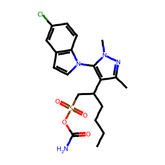 CCCCC(CS(=O)(=O)OC(N)=O)c1c(C)nn(C)c1-n1ccc2cc(Cl)ccc21